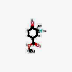 CC(C)(C)OC(=O)C1CCC(=O)[C@@](C)(F)C1